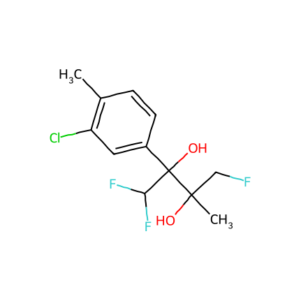 Cc1ccc(C(O)(C(F)F)C(C)(O)CF)cc1Cl